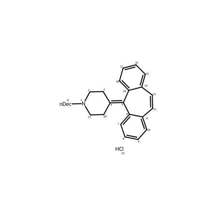 CCCCCCCCCCN1CCC(=C2c3ccccc3C=Cc3ccccc32)CC1.Cl